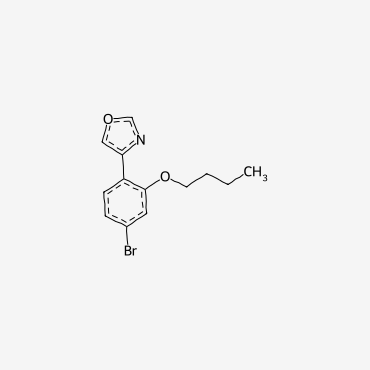 CCCCOc1cc(Br)ccc1-c1cocn1